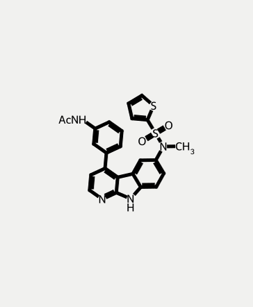 CC(=O)Nc1cccc(-c2ccnc3[nH]c4ccc(N(C)S(=O)(=O)c5cccs5)cc4c23)c1